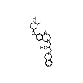 CC1CC(Oc2ccc3c(c2)N(C)CCN(CC(O)CN2CCc4ccccc4C2)C3)CCN1